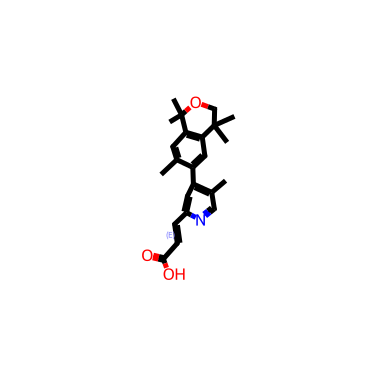 Cc1cnc(/C=C/C(=O)O)cc1-c1cc2c(cc1C)C(C)(C)OCC2(C)C